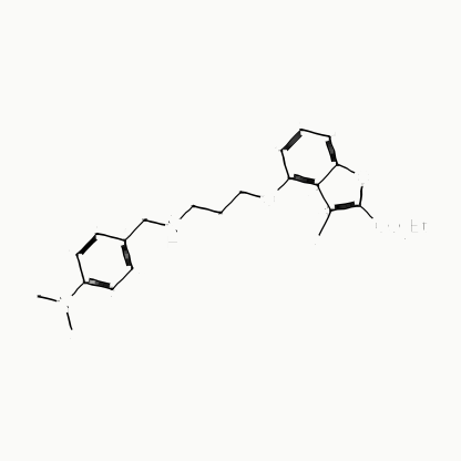 CCOC(=O)c1oc2cccc(OCCCNCc3ccc(N(C)C)cc3)c2c1C